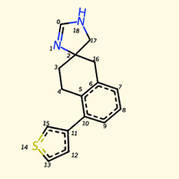 C1=NC2(CCc3c(cccc3-c3ccsc3)C2)CN1